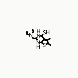 CCN(CC)CC1NC(S)C2=C(C)C(C)SC2N1